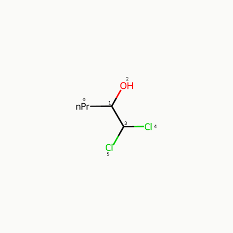 CCCC(O)C(Cl)Cl